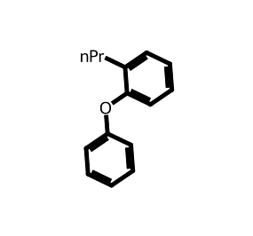 C[CH]Cc1ccccc1Oc1ccccc1